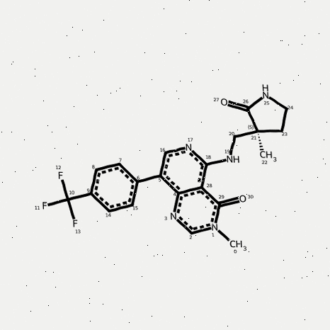 Cn1cnc2c(-c3ccc(C(F)(F)F)cc3)cnc(NC[C@]3(C)CCNC3=O)c2c1=O